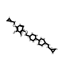 Fc1c(OCC2CC2)ccc(OCC2CCC(C3CCC(CCC4CC4)CC3)CC2)c1F